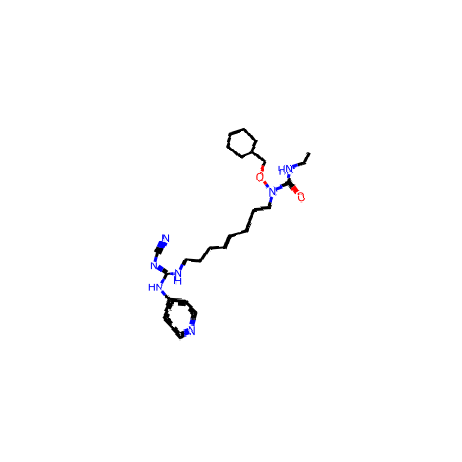 CCNC(=O)N(CCCCCCCCN/C(=N\C#N)Nc1ccncc1)OCC1CCCCC1